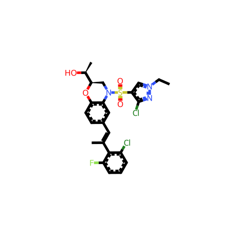 CCn1cc(S(=O)(=O)N2C[C@H]([C@H](C)O)Oc3ccc(C=C(C)c4c(F)cccc4Cl)cc32)c(Cl)n1